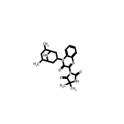 CC1CC(C)C2CC(n3c(=O)c(N4C(=O)NC(C)(C)C4=O)nc4ccccc43)CC1N2